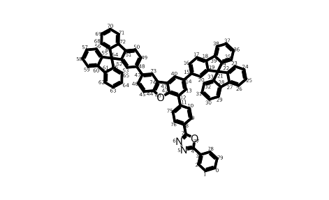 c1ccc(-c2nnc(-c3ccc(-c4cc(-c5ccc6c(c5)C5(c7ccccc7-c7ccccc75)c5ccccc5-6)cc5c4oc4ccc(-c6ccc7c(c6)C6(c8ccccc8-c8ccccc86)c6ccccc6-7)cc45)cc3)o2)cc1